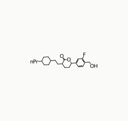 CCCC1CCC(CCC2CCC(c3ccc(CO)c(F)c3)OC2=O)CC1